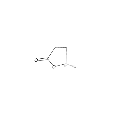 [CH2][C@H]1CCC(=O)O1